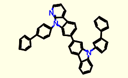 c1ccc(-c2ccc(-n3c4cc(-c5ccc6c7ccccc7n(-c7cccc(-c8ccccc8)c7)c6c5)ccc4c4cccnc43)cc2)cc1